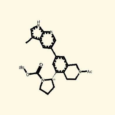 CC(=O)N1CCc2c(cc(-c3cnc4[nH]cc(C)c4c3)cc2[C@@H]2CCCN2C(=O)OC(C)(C)C)C1